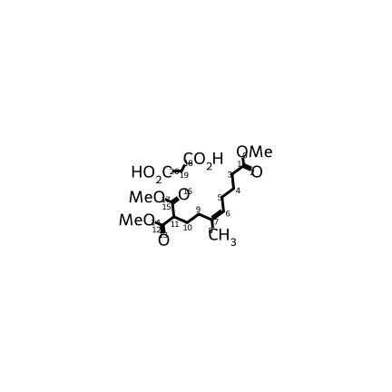 COC(=O)CCCC=C(C)CCC(C(=O)OC)C(=O)OC.O=C(O)CC(=O)O